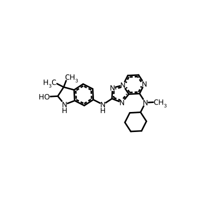 CN(c1nccn2nc(Nc3ccc4c(c3)NC(O)C4(C)C)nc12)C1CCCCC1